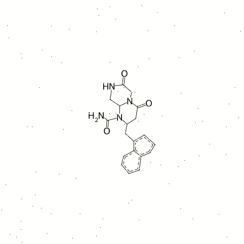 NC(=O)N1C(Cc2cccc3ccccc23)CC(=O)N2CC(=O)NCC21